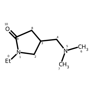 CCN1CC(CN(C)C)CC1=O